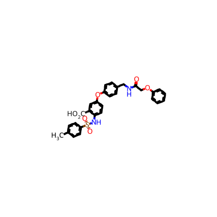 Cc1ccc(S(=O)(=O)Nc2ccc(Oc3ccc(CNC(=O)COc4ccccc4)cc3)cc2C(=O)O)cc1